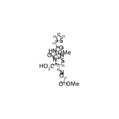 COC(=O)CO/N=C/C1=C(C(=O)O)N2C(=O)[C@](NC(=O)Cc3cccs3)(OC)[C@H]2SC1